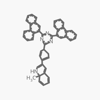 CC12C=CC=CC1=CC(C1=CCC(c3nc(-c4cc5ccccc5c5ccccc45)nc(-c4cc5ccccc5c5ccccc45)n3)C=C1)=CN2